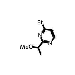 CCc1[c]cnc(C(C)OC)n1